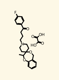 CC1Oc2ccccc2COC12CCN(CCCC(=O)c1ccc(F)cc1)CC2.O=C(O)C(=O)O